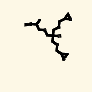 CCC(COCC(C)OC)(COCC1CO1)COCC1CO1